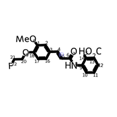 COc1cc(/C=C/C(=O)Nc2ccccc2C(=O)O)ccc1OCCF